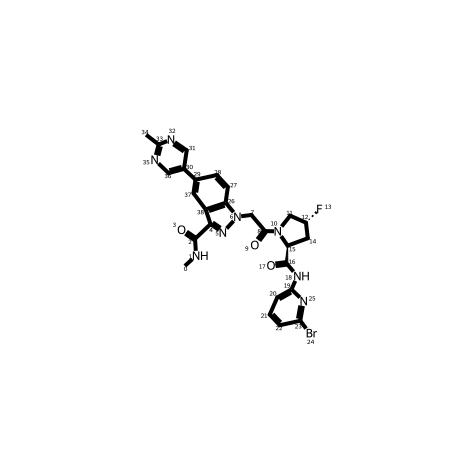 CNC(=O)c1nn(CC(=O)N2C[C@H](F)C[C@H]2C(=O)Nc2cccc(Br)n2)c2ccc(-c3cnc(C)nc3)cc12